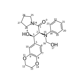 O=C([C@H]([C@H](O)c1ccc2c(c1)OCCO2)N(CO)c1ccccc1)N1CCCC1